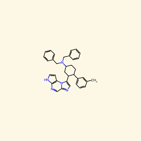 Cc1cccc(C2CCC(N(Cc3ccccc3)Cc3ccccc3)CC2c2cnc3cnc4[nH]ccc4n23)c1